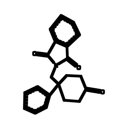 O=C1CCC(CN2C(=O)c3ccccc3C2=O)(c2ccccc2)CC1